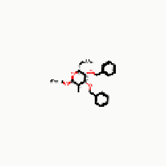 CCCC(C)OC1O[C@H](COC(C)=O)[C@@H](OCc2ccccc2)[C@H](OCc2ccccc2)[C@H]1C